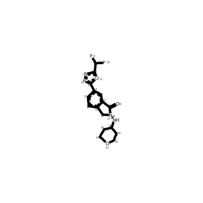 O=C1c2cc(-c3nnc(C(F)F)o3)ccc2CN1NC1CCOCC1